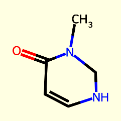 CN1CNC=CC1=O